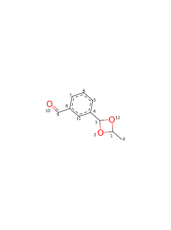 CC1OC(c2cccc(C=O)c2)O1